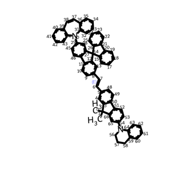 CC1(C)c2cc(/C=C/c3ccc4c(c3)C3(c5ccccc5-c5ccccc53)c3cc(N5c6ccccc6C=Cc6ccccc65)ccc3-4)ccc2-c2ccc(N3CCCc4ccccc43)cc21